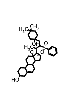 CC(C(CC1(O)CCC(C)(C)CC1)S(=O)(=O)c1ccccc1)[C@H]1CCC2C3CC=C4C[C@@H](O)CCC4C3CCC21C